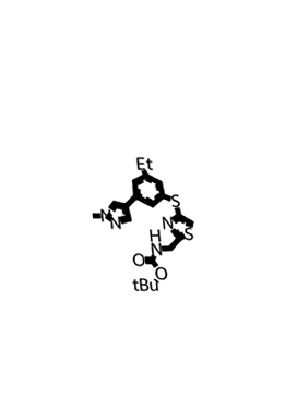 CCc1cc(Sc2csc(CNC(=O)OC(C)(C)C)n2)cc(-c2cnn(C)c2)c1